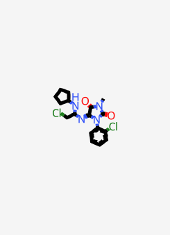 CN1C(=O)C(=NC(CCl)NC2CCCC2)N(c2ccccc2Cl)C1=O